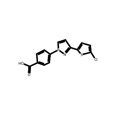 O=C(O)c1ccc(-n2ccc(-c3ccc(Cl)s3)n2)cc1